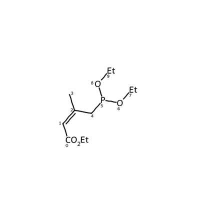 CCOC(=O)C=C(C)CP(OCC)OCC